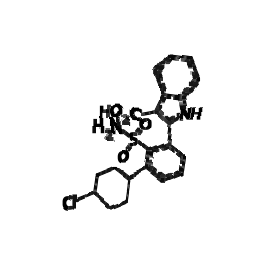 NS(=O)(=O)c1c(-c2[nH]c3ccccc3c2C(=O)O)cccc1C1CCC(Cl)CC1